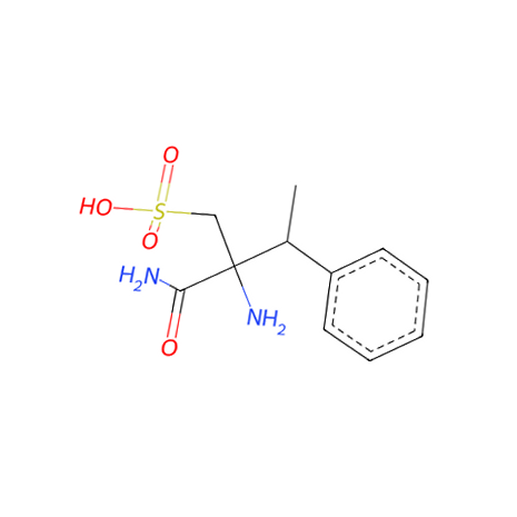 CC(c1ccccc1)C(N)(CS(=O)(=O)O)C(N)=O